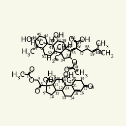 CC(=O)OCC(=O)[C@@]1(O)CCC2C3CCC4=CC(=O)CC[C@]4(C)C3[C@@H](O)C[C@@]21C.CC(=O)O[C@H]1C[C@@]2(C)[C@H](C[C@@H](O)[C@@H]3[C@@]4(C)CC[C@@H](O)[C@@H](C)C4CC[C@@]32C)C1=C(CCC=C(C)C)C(=O)O